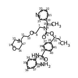 CC[C@H](OC(=O)N(CCOCCN1CCOCC1)[C@@H](C)c1cccnc1)c1ccc(C(=O)Nc2ccccc2N)cc1